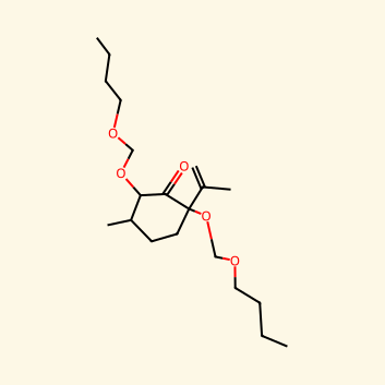 C=C(C)C1(OCOCCCC)CCC(C)C(OCOCCCC)C1=O